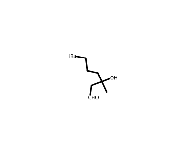 CCC(C)CCCC(C)(O)CC=O